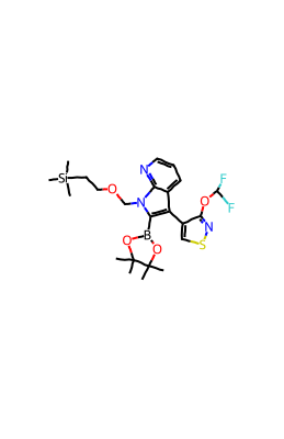 CC1(C)OB(c2c(-c3csnc3OC(F)F)c3cccnc3n2COCC[Si](C)(C)C)OC1(C)C